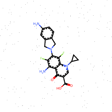 Nc1ccc2c(c1)CN(c1c(F)c(N)c3c(=O)c(C(=O)O)cn(C4CC4)c3c1F)C2